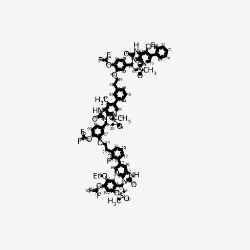 CCOc1cc([C@@H](CS(C)(=O)=O)n2c(=O)[nH]c3cc(-c4cccc(CCOc5cc([C@@H](CS(C)(=O)=O)n6c(=O)[nH]c7c(C)c(-c8cccc(CCOc9cc([C@@H](CS(C)(=O)=O)n%10c(=O)[nH]c%11c(C)c(-c%12ccccc%12F)cnc%11%10)ccc9OC(F)F)c8)cnc76)ccc5OC(F)F)c4F)cnc32)ccc1OC(F)F